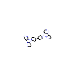 c1cnc2c(c1)c1ncccc1n2-c1ccc(-c2ccc(-n3c4cnccc4c4ncccc43)cc2)cc1